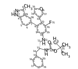 Cc1n[nH]c2ccc(-c3cc(NC[C@@H](Cc4ccccc4)NC(=O)OC(C)(C)C)cc(F)c3-c3ccoc3)cc12